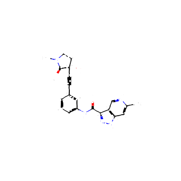 CN1CC[C@@](O)(C#Cc2cccc(NC(=O)c3n[nH]c4cc(C#N)ncc34)c2)C1=O